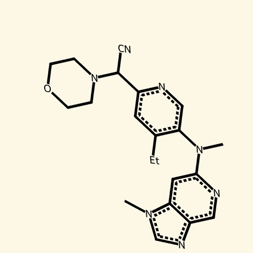 CCc1cc(C(C#N)N2CCOCC2)ncc1N(C)c1cc2c(cn1)ncn2C